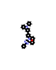 c1ccc(-c2ncc(-n3c4ccccc4c4cc(-c5ccc6c(c5)c5ccccc5n6-c5ccccc5)ccc43)c(-c3ccccc3)n2)cc1